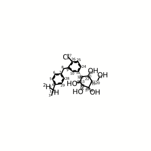 [2H]C([2H])(C)c1ccc(Cc2cc([C@H]3[C@H](O)[C@@H](O)[C@H](O)[C@@H](CO)[C@@H]3O)ccc2Cl)cc1